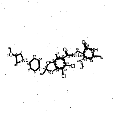 COC1CN([C@H]2CC[C@@H](C3(C)Oc4c(C)c(C(=O)NCc5c(SC)cc(C)[nH]c5=O)c(Cl)c(Cl)c4O3)CC2)C1